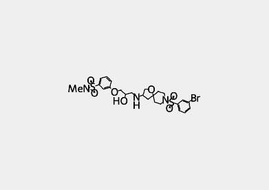 CNS(=O)(=O)c1cccc(OCC(O)CNC2COC3(CCN(S(=O)(=O)c4cccc(Br)c4)CC3)C2)c1